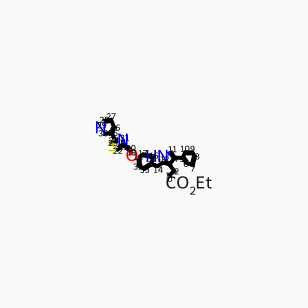 CCOC(=O)CCc1c(-c2ccccc2)c[nH]c1Cc1ccc(OCc2csc(-c3cccnc3)n2)cc1